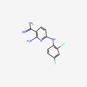 CC(=N)c1ccc(Nc2ccc(F)cc2F)nc1N